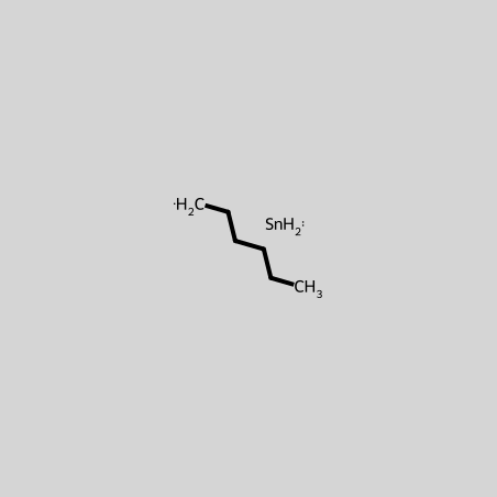 [CH2]CCCCC.[SnH2]